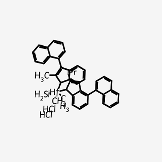 CC1=C(c2cccc3ccccc23)c2ccccc2[CH]1[Hf]([CH3])([CH3])(=[SiH2])[CH]1C(C(C)C)=Cc2c(-c3cccc4ccccc34)cccc21.Cl.Cl